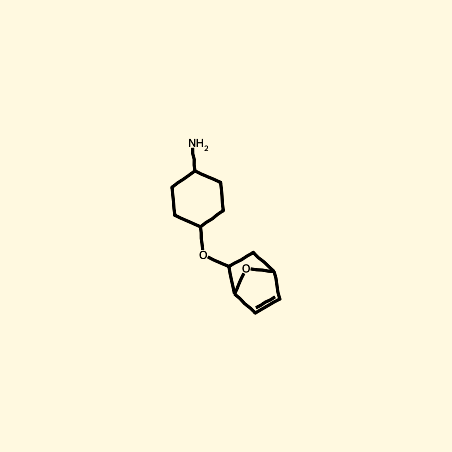 NC1CCC(OC2CC3C=CC2O3)CC1